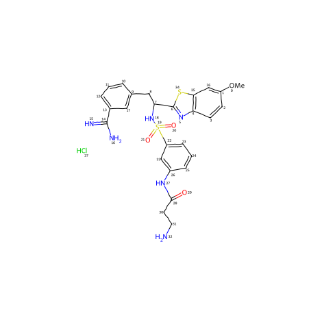 COc1ccc2nc(C(Cc3cccc(C(=N)N)c3)NS(=O)(=O)c3cccc(NC(=O)CCN)c3)sc2c1.Cl